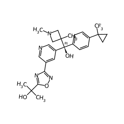 CN1CC(C)([C@](O)(c2ccc(C3(C(F)(F)F)CC3)cc2)c2cncc(-c3noc(C(C)(C)O)n3)c2)C1